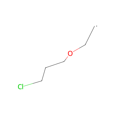 [CH2]COCCCCl